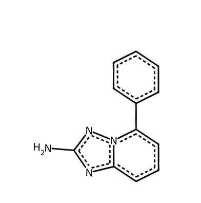 Nc1nc2cccc(-c3ccccc3)n2n1